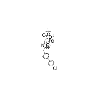 CCOP(=O)(OCC)C(Cc1nc(Cc2ccc(-c3ccc(Cl)cc3)cc2)no1)C(=O)OC(C)(C)C